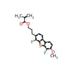 C=C(C)C(=O)OCCCc1ccc2c(sc3c(F)c(OC)ccc32)c1F